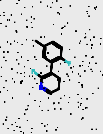 Cc1ccc(F)c(C2=C(F)N=CCC2)c1